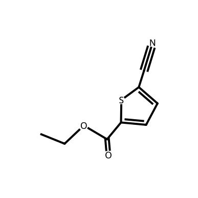 CCOC(=O)c1ccc(C#N)s1